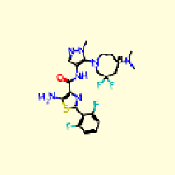 CN(C)[C@@H]1CCN(c2c(NC(=O)c3nc(-c4c(F)cccc4F)sc3N)cnn2C)CC(F)(F)C1